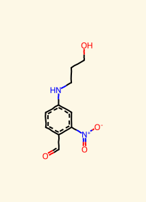 O=Cc1ccc(NCCCO)cc1[N+](=O)[O-]